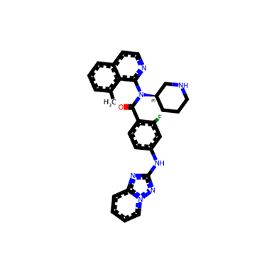 Cc1cccc2ccnc(N(C(=O)c3ccc(Nc4nc5ccccn5n4)cc3F)[C@@H]3CCCNC3)c12